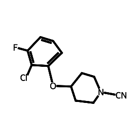 N#CN1CCC(Oc2cccc(F)c2Cl)CC1